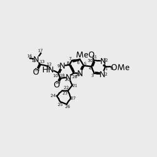 COc1ncc(-c2ccc3nc(NCC(=O)N(C)C)c(=O)n(CC4CCCCC4)c3n2)c(OC)n1